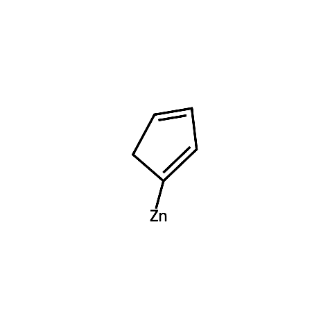 [Zn][C]1=CC=CC1